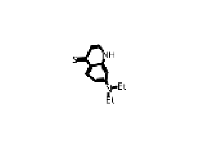 CCN(CC)c1ccc2c(=S)cc[nH]c2c1